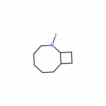 IN1CCCCCC2CCC21